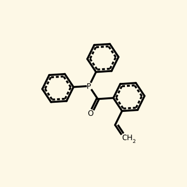 C=Cc1ccccc1C(=O)P(c1ccccc1)c1ccccc1